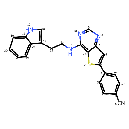 N#Cc1ccc(-c2cc3ncnc(NCCc4c[nH]c5ccccc45)c3s2)cc1